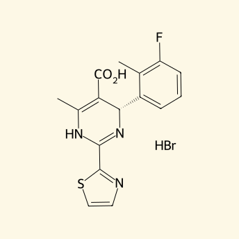 Br.CC1=C(C(=O)O)[C@H](c2cccc(F)c2C)N=C(c2nccs2)N1